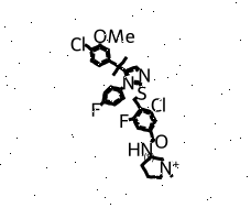 COc1cc(C(C)(C)c2cnc(SCc3c(F)cc(C(=O)N[C@H]4CCC[N+](C)(C)C4)cc3Cl)n2-c2ccc(F)cc2)ccc1Cl